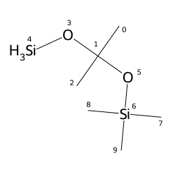 CC(C)(O[SiH3])O[Si](C)(C)C